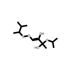 CC(C)OC(C)(O)/C(O)=C/OSC(C)C(C)C